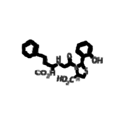 O=C(O)C(CCc1ccccc1)NCC(=O)N1C(c2ccccc2O)SC[C@H]1C(=O)O